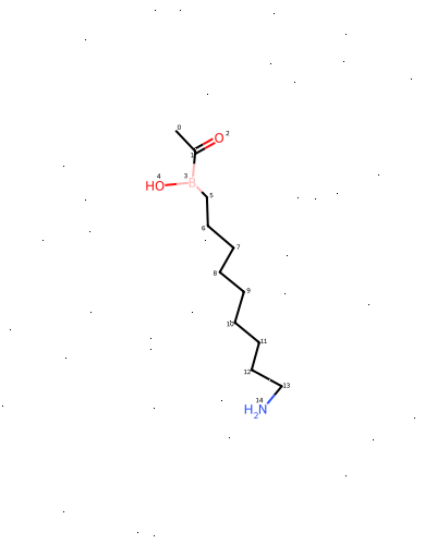 CC(=O)B(O)CCCCCCCCCN